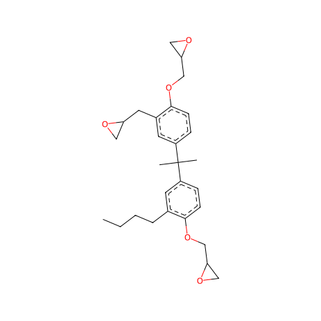 CCCCc1cc(C(C)(C)c2ccc(OCC3CO3)c(CC3CO3)c2)ccc1OCC1CO1